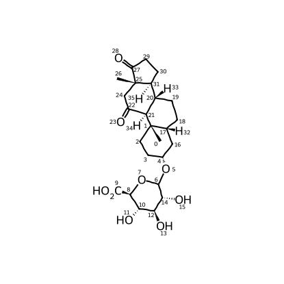 C[C@]12CC[C@@H](OC3O[C@H](C(=O)O)[C@@H](O)[C@H](O)[C@H]3O)C[C@H]1CC[C@@H]1[C@@H]2C(=O)C[C@]2(C)C(=O)CC[C@@H]12